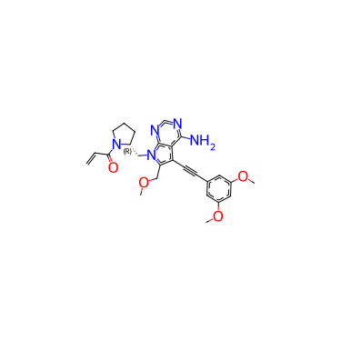 C=CC(=O)N1CCC[C@@H]1Cn1c(COC)c(C#Cc2cc(OC)cc(OC)c2)c2c(N)ncnc21